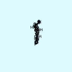 Cc1[nH]c(-c2ccc(-c3ccc(NC(=O)N4CCN(c5ccc(F)cc5)C4=O)cc3F)c3c2C(=O)NC3)nc1C(=O)NCCN1CCCC1